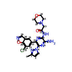 Cc1ccn(-c2nc(N)c(NC(=O)CN3CCOCC3)nc2-c2cc(Cl)c3oncc3c2)n1